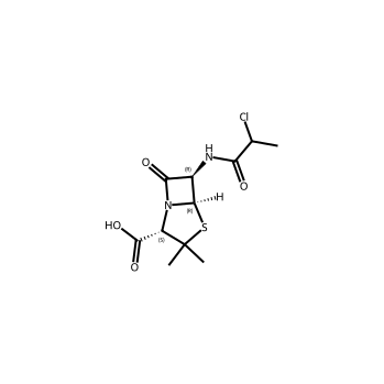 CC(Cl)C(=O)N[C@@H]1C(=O)N2[C@@H]1SC(C)(C)[C@@H]2C(=O)O